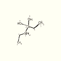 CC[SiH2][Si](O)(O)CC